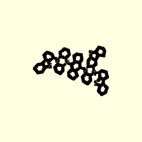 c1ccc2c(c1)N(c1c3ccccc3c(N3c4ccccc4N(c4cccc5c4sc4ccccc45)c4cc5c(cc43)sc3ccccc35)c3ccccc13)c1ccccc1N2c1cccc2c1sc1ccccc12